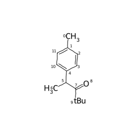 Cc1ccc(C(C)C(=O)C(C)(C)C)cc1